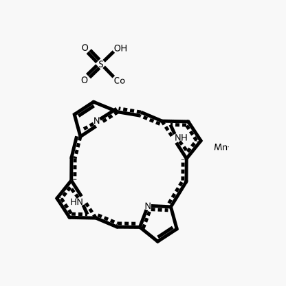 C1=Cc2cc3ccc(cc4nc(cc5ccc(cc1n2)[nH]5)C=C4)[nH]3.O=[S](=O)(O)[Co].[Mn]